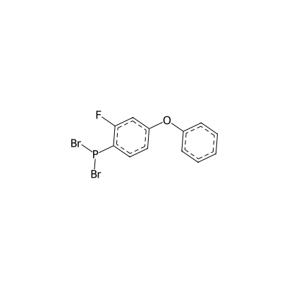 Fc1cc(Oc2ccccc2)ccc1P(Br)Br